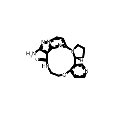 Nc1nn2ccc3nc2c1C(=O)NCCOc1ccncc1[C@H]1CCCN31